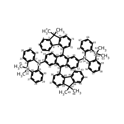 CC1(C)c2ccccc2-c2c(-c3c4ccc(N5c6ccccc6[Si](C)(C)c6ccccc65)cc4c(-c4cccc5c4-c4ccccc4C5(C)C)c4ccc(N5c6ccccc6[Si](C)(C)c6ccccc65)cc34)cccc21